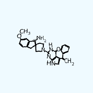 C=C(c1ccccc1)c1c[nH]c2nc(N3CCC4(CC3)Cc3ccc(OC)cc3[C@H]4N)[nH]c(=O)c12